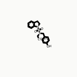 CCOC(=O)CN(Cc1ccc(O)cc1)S(=O)(=O)N1CCc2ccccc21